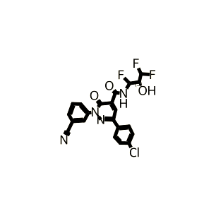 N#Cc1cccc(-n2nc(-c3ccc(Cl)cc3)cc(C(=O)NC(F)[C@H](O)C(F)F)c2=O)c1